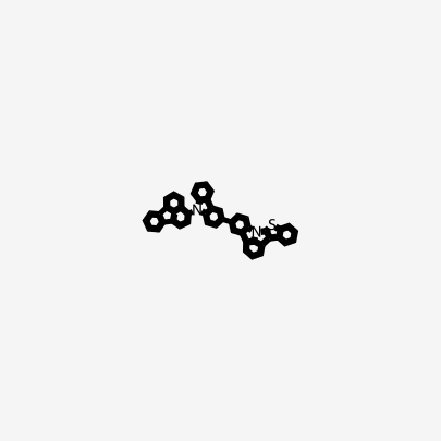 c1ccc2c(c1)-c1cccc3c(-n4c5ccccc5c5cc(-c6ccc7c(c6)c6cccc8c9c%10ccccc%10sc9n7c68)ccc54)ccc-2c13